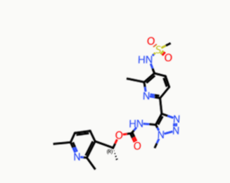 Cc1ccc([C@@H](C)OC(=O)Nc2c(-c3ccc(NS(C)(=O)=O)c(C)n3)nnn2C)c(C)n1